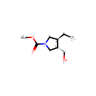 CC(C)(C)OC(=O)N1C[C@@H](CO)[C@H](CC(F)(F)F)C1